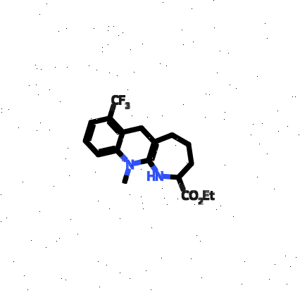 CCOC(=O)C1CCCC2=C(N1)N(C)c1cccc(C(F)(F)F)c1C2